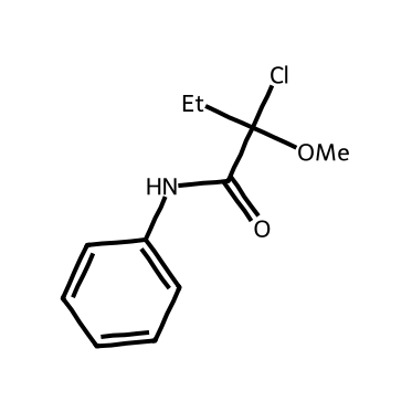 CCC(Cl)(OC)C(=O)Nc1ccccc1